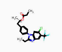 CCC(=O)O[C@@H](C)Cc1ccc(-n2c(CC)nc3cc(C(F)(F)F)c(Cl)cc32)cc1